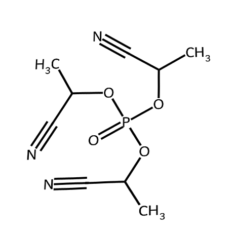 CC(C#N)OP(=O)(OC(C)C#N)OC(C)C#N